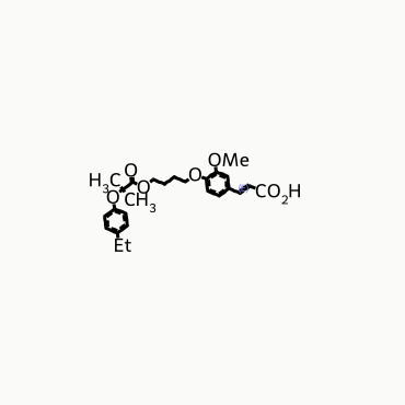 CCc1ccc(OC(C)(C)C(=O)OCCCCOc2ccc(/C=C/C(=O)O)cc2OC)cc1